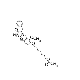 COc1c(OCCCCCCCOC(C)=O)ccc2c1CN1C(=N2)NC(=O)C1Cc1ccccc1